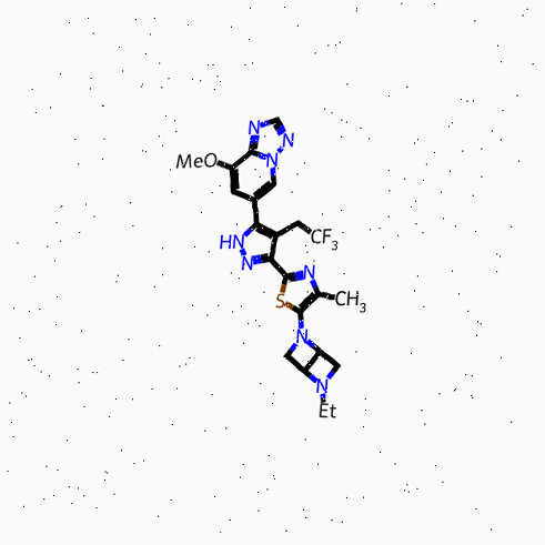 CCN1CC2C1CN2c1sc(-c2n[nH]c(-c3cc(OC)c4ncnn4c3)c2CC(F)(F)F)nc1C